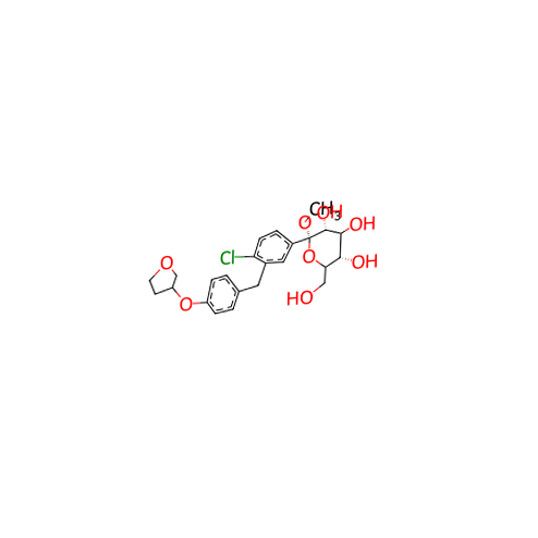 CO[C@@]1(c2ccc(Cl)c(Cc3ccc(OC4CCOC4)cc3)c2)OC(CO)[C@@H](O)C(O)[C@H]1O